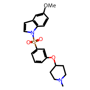 COc1ccc2c(ccn2S(=O)(=O)c2cccc(OC3CCN(C)CC3)c2)c1